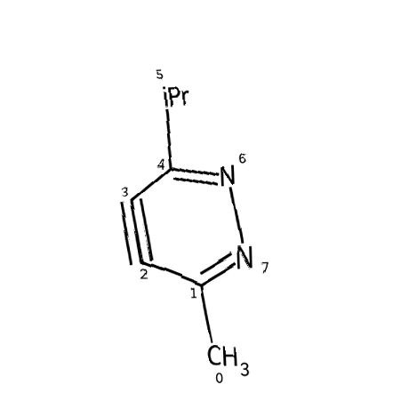 Cc1c#cc(C(C)C)nn1